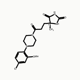 COc1cc(Cl)ccc1N1CCN(C(=O)CC[C@@]2(C)NC(=O)NC2=O)CC1